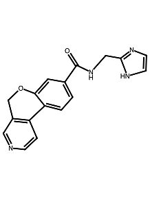 O=C(NCc1ncc[nH]1)c1ccc2c(c1)OCc1cnccc1-2